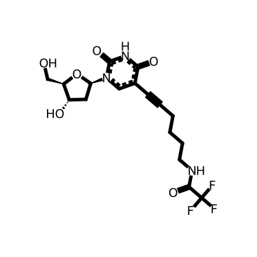 O=C(NCCCCC#Cc1cn([C@H]2C[C@H](O)[C@@H](CO)O2)c(=O)[nH]c1=O)C(F)(F)F